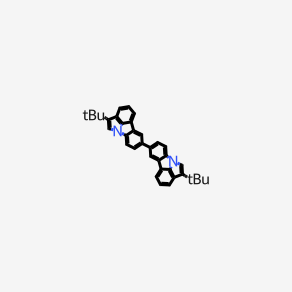 CC(C)(C)c1cn2c3ccc(-c4ccc5c(c4)c4cccc6c(C(C)(C)C)cn5c64)cc3c3cccc1c32